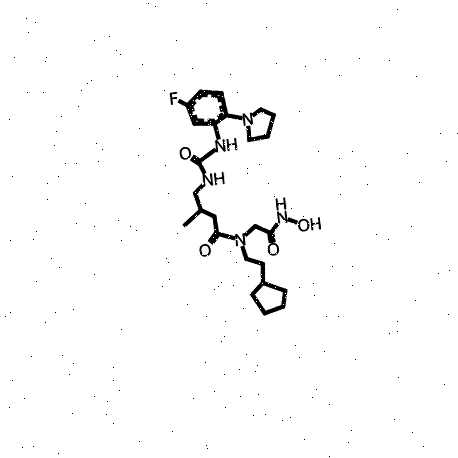 CC(CNC(=O)Nc1cc(F)ccc1N1CCCC1)CC(=O)N(CCC1CCCC1)CC(=O)NO